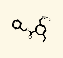 CCC1=CC=C(CN)C=C(C(=O)OCc2ccccc2)C1